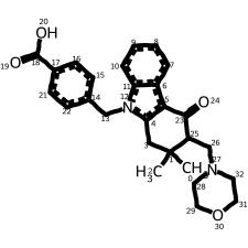 CC1(C)Cc2c(c3ccccc3n2Cc2ccc(C(=O)O)cc2)C(=O)C1CN1CCOCC1